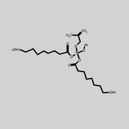 C=C(C)C[O][Ti]([O]C(=O)CCCCCCCCCCCCCCCCC)([O]C(=O)CCCCCCCCCCCCCCCCC)[O]C(C)C